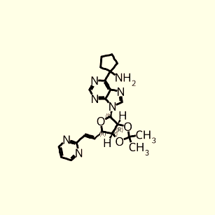 CC1(C)O[C@@H]2[C@H](O1)[C@@H](C=Cc1ncccn1)O[C@H]2n1cnc2c(C3(N)CCCC3)ncnc21